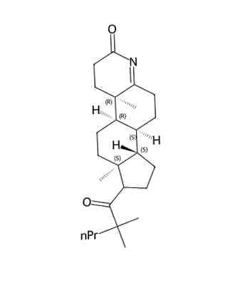 CCCC(C)(C)C(=O)C1CC[C@H]2[C@@H]3CCC4=NC(=O)CC[C@]4(C)[C@@H]3CC[C@]12C